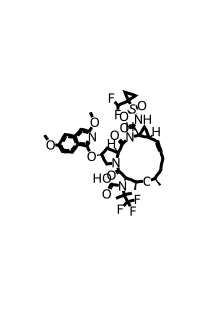 COc1ccc2c(O[C@@H]3C[C@H]4C(=O)N[C@]5(C(=O)NS(=O)(=O)C6(C(F)F)CC6)C[C@H]5C=CCC[C@@H](C)C[C@@H](C)[C@H](N(C(=O)O)C(C)(C)C(F)(F)F)C(=O)N4C3)nc(OC)cc2c1